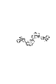 C[Si]1(C)c2ccccc2-c2cc(-c3ccc4ccc5ccc(-c6ccc7ccc8ccc(-c9ccc%10c(c9)-c9ccccc9[Si]%10(C)C)nc8c7n6)nc5c4n3)ccc21